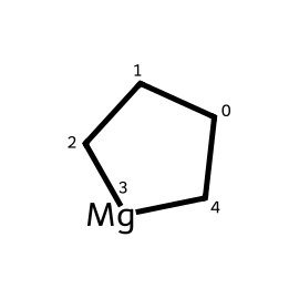 C1C[CH2][Mg][CH2]1